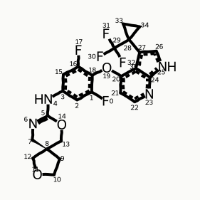 Fc1cc(NC2=NC[C@]3(CCOC3)CO2)cc(F)c1Oc1ccnc2[nH]cc(C3(C(F)(F)F)CC3)c12